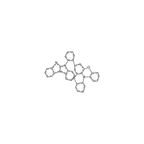 c1ccc2c(c1)Oc1cc(-c3ccccc3-n3c4ccccc4n4c5ccccc5nc34)cc3c1B2c1ccccc1O3